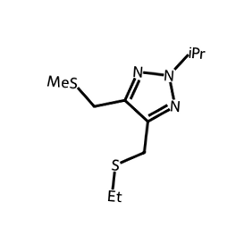 CCSCc1nn(C(C)C)nc1CSC